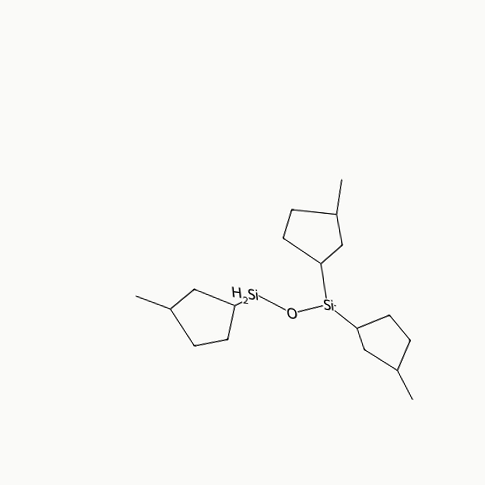 CC1CCC([SiH2]O[Si](C2CCC(C)C2)C2CCC(C)C2)C1